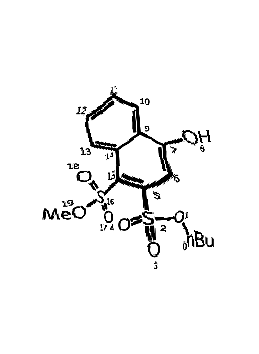 CCCCOS(=O)(=O)c1cc(O)c2ccccc2c1S(=O)(=O)OC